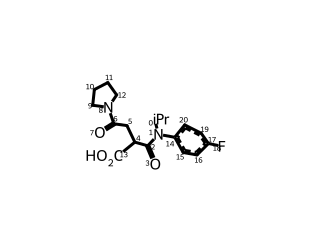 CC(C)N(C(=O)C(CC(=O)N1CCCC1)C(=O)O)c1ccc(F)cc1